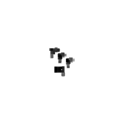 Cl.[S-2].[S-2].[Ti+4]